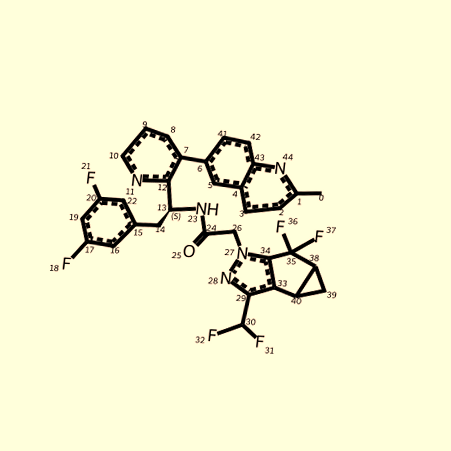 Cc1ccc2cc(-c3cccnc3[C@H](Cc3cc(F)cc(F)c3)NC(=O)Cn3nc(C(F)F)c4c3C(F)(F)C3CC43)ccc2n1